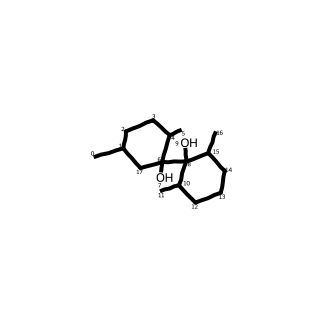 CC1CCC(C)C(O)(C2(O)C(C)CCCC2C)C1